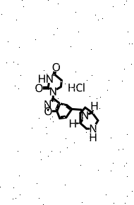 Cl.O=C1CCN(c2noc3ccc(CN4[C@@H]5CC[C@H]4CNC5)cc23)C(=O)N1